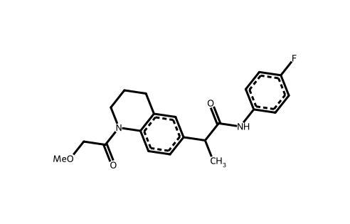 COCC(=O)N1CCCc2cc(C(C)C(=O)Nc3ccc(F)cc3)ccc21